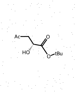 CC(=O)C[C@@H](O)C(=O)OC(C)(C)C